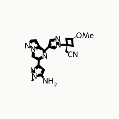 CO[C@H]1C[C@@](CC#N)(n2cc(-c3nc(-c4cc(N)n(C)n4)cn4nccc34)cn2)C1